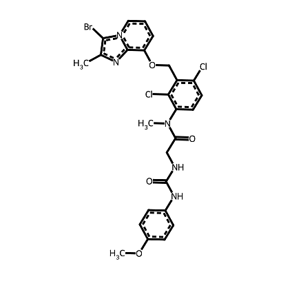 COc1ccc(NC(=O)NCC(=O)N(C)c2ccc(Cl)c(COc3cccn4c(Br)c(C)nc34)c2Cl)cc1